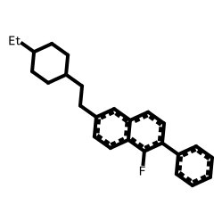 CCC1CCC(CCc2ccc3c(F)c(-c4ccccc4)ccc3c2)CC1